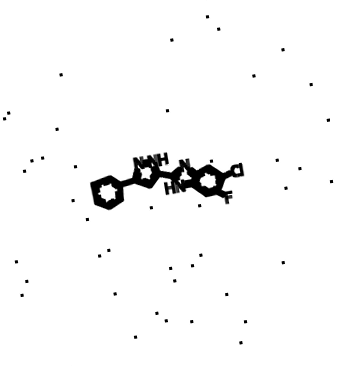 Fc1cc2[nH]c(-c3cc(-c4ccccc4)n[nH]3)nc2cc1Cl